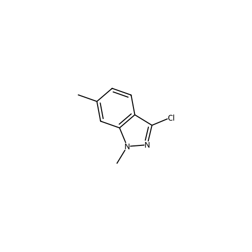 Cc1ccc2c(Cl)nn(C)c2c1